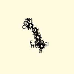 CN(C)C(=O)c1ccc(N2CCC(CC3(C)CCN(C(=O)[C@](O)(c4cc(F)cc(Cl)c4)C(F)(F)F)CC3)CC2)nc1Cl